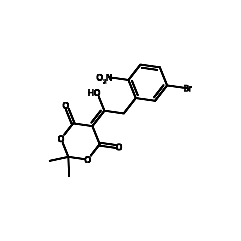 CC1(C)OC(=O)C(=C(O)Cc2cc(Br)ccc2[N+](=O)[O-])C(=O)O1